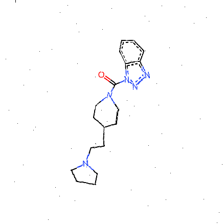 O=C(N1CCC(CCN2CCCC2)CC1)n1nnc2ccccc21